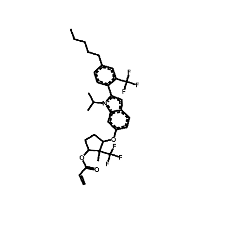 C=CC(=O)OC1CCC(Oc2ccc3cc(-c4ccc(CCCCC)cc4C(F)(F)F)n(C(C)C)c3c2)C1(C)C(F)(F)F